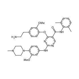 COc1cc(CCN)ccc1Oc1nc(Nc2ccc(N3CCN(C)CC3)c(OC)c2)ncc1C(=O)Nc1c(C)cccc1C